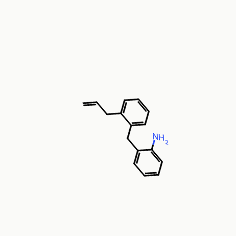 C=CCc1ccccc1Cc1ccccc1N